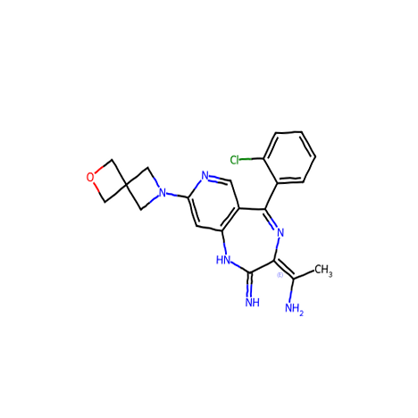 C/C(N)=C1\N=C(c2ccccc2Cl)c2cnc(N3CC4(COC4)C3)cc2NC1=N